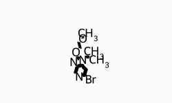 COCCOc1nc2cnc(Br)cc2n1C(C)C